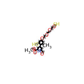 COC(=O)c1cc(-c2c(C)cc(OCCOCCOCCOS)cc2S)cc(C=O)n1